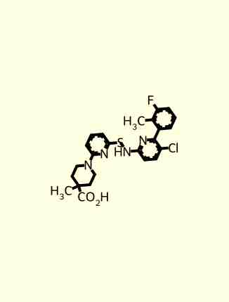 Cc1c(F)cccc1-c1nc(NSc2cccc(N3CCC(C)(C(=O)O)CC3)n2)ccc1Cl